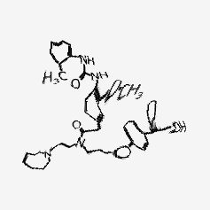 COc1cc(CC(=O)N(CCOc2ccc(C(=O)O)cc2)CCN2CCCCCC2)ccc1NC(=O)Nc1ccccc1C